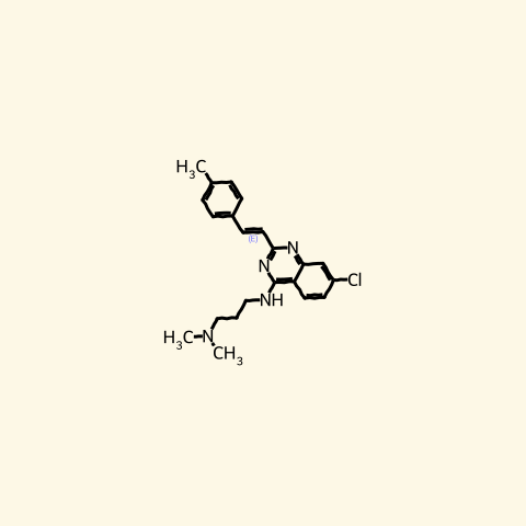 Cc1ccc(/C=C/c2nc(NCCCN(C)C)c3ccc(Cl)cc3n2)cc1